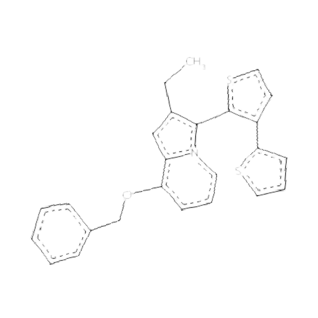 CCc1cc2c(OCc3ccccc3)cccn2c1-c1sccc1-c1cccs1